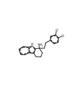 NC1(CCc2ccc(Cl)c(Cl)c2)CCCc2c1[nH]c1ccccc21